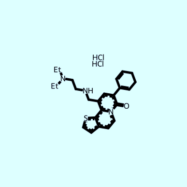 CCN(CC)CCNCc1cc(C2=CCCC=C2)c(=O)n2ccc3ccsc3c12.Cl.Cl